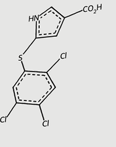 O=C(O)c1c[nH]c(Sc2cc(Cl)c(Cl)cc2Cl)c1